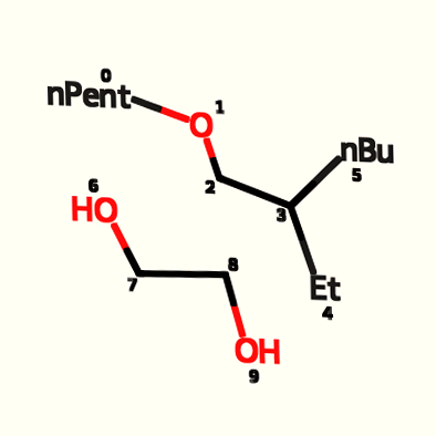 CCCCCOCC(CC)CCCC.OCCO